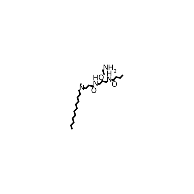 CCCCCCCCCCCCN(C)CCC(=O)NCC(CNC(=O)CCC)OCCN